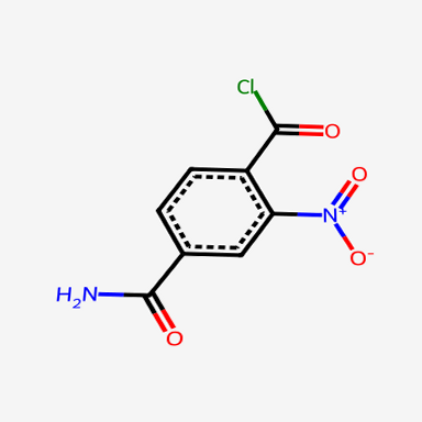 NC(=O)c1ccc(C(=O)Cl)c([N+](=O)[O-])c1